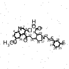 COc1ccc2ncc(Cl)c(C(=O)CCC3CCN(CCSc4cccc(F)c4)CC3CC(=O)O)c2c1